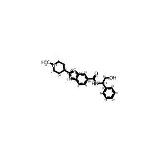 CN1CCC(c2nc3ccc(C(=O)NC(CO)c4ccccc4)cc3s2)CC1